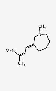 CN/C(C)=C\C=C1/CCCCN(C)C1